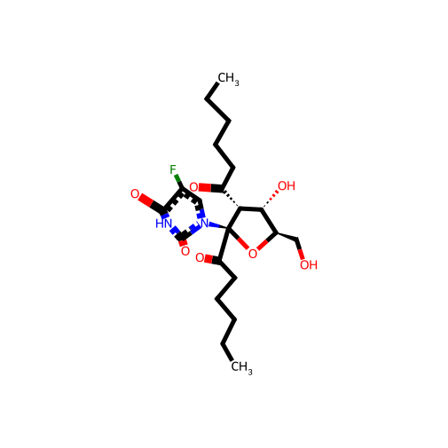 CCCCCC(=O)[C@@H]1[C@H](O)[C@@H](CO)O[C@@]1(C(=O)CCCCC)n1cc(F)c(=O)[nH]c1=O